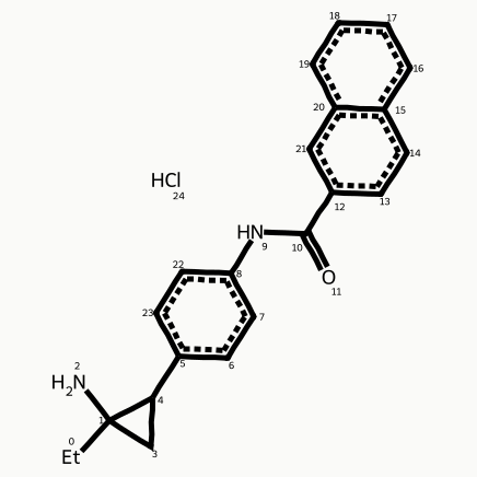 CCC1(N)CC1c1ccc(NC(=O)c2ccc3ccccc3c2)cc1.Cl